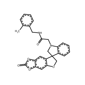 Cc1ccccc1CNC(=O)CN1CC2(COc3cc4oc(=O)oc4cc32)c2ccccc21